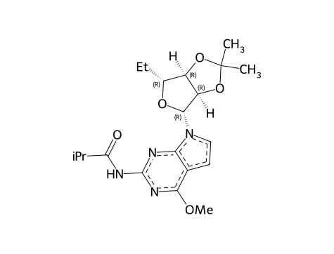 CC[C@H]1O[C@@H](n2ccc3c(OC)nc(NC(=O)C(C)C)nc32)[C@@H]2OC(C)(C)O[C@@H]21